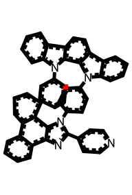 c1ccc(-n2c3ccccc3c3ccc4c5ccccc5n(-c5ccc(-n6c(-c7ccncc7)nc7c8ccccc8c8ccccc8c76)cc5)c4c32)cc1